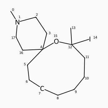 CN1CCC2(CCCCCCCC(C)(I)O2)CC1